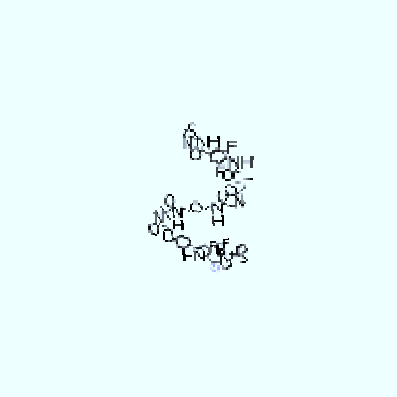 CN(CC(=O)NCCOCCNC(=O)C(C)(C)N(C)C(=O)COc1ccc(-c2ccc(/C=C3/C=CC(c4cccs4)=[N+]3B(F)F)[nH]2)cc1)C(=O)CC(C)(C)CC(=O)Nc1c(F)cc(C(=O)Nc2nccs2)cc1F